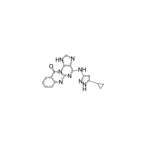 O=c1c2ccccc2nc2nc(Nc3cc(C4CC4)[nH]n3)c3nc[nH]c3n12